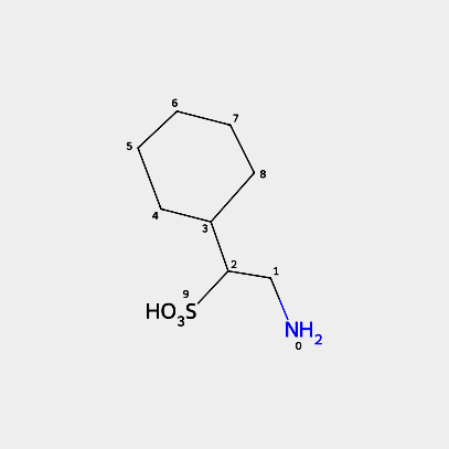 NCC(C1CCCCC1)S(=O)(=O)O